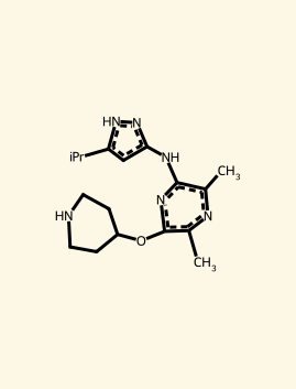 Cc1nc(C)c(OC2CCNCC2)nc1Nc1cc(C(C)C)[nH]n1